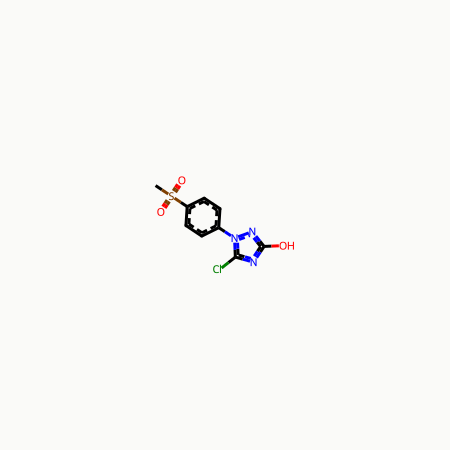 CS(=O)(=O)c1ccc(-n2nc(O)nc2Cl)cc1